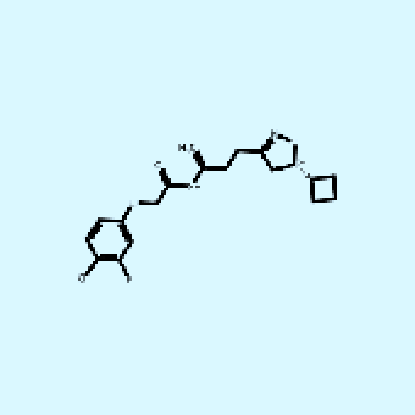 C=C(CCC1=NO[C@H](C2CCC2)C1)NC(=O)COc1ccc(Cl)c(F)c1